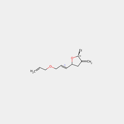 C=CCOC/C=C/C1CC(=C)[C@H](CC)O1